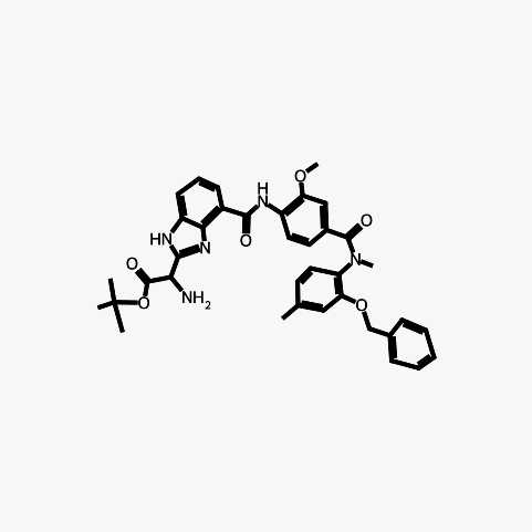 COc1cc(C(=O)N(C)c2ccc(C)cc2OCc2ccccc2)ccc1NC(=O)c1cccc2[nH]c(C(N)C(=O)OC(C)(C)C)nc12